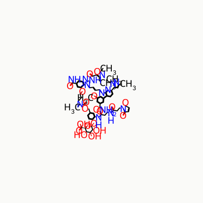 CCc1nc(C)oc1C(=O)Nc1nc2cc(C(N)=O)cc(OCCCN(C)C(=O)OCc3ccc(O[C@@H]4O[C@H](C(=O)O)[C@@H](O)[C@H](O)[C@H]4O)c(NC(=O)CCNC(=O)CCN4C(=O)C=CC4=O)c3)c2n1C/C=C/Cn1c2nc(-c3cc(C)nn3CC)ccc2c2cc(C(N)=O)cc(OC)c21